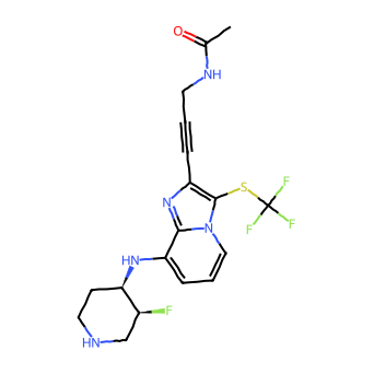 CC(=O)NCC#Cc1nc2c(N[C@@H]3CCNC[C@@H]3F)cccn2c1SC(F)(F)F